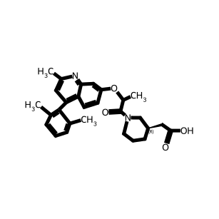 Cc1cc(-c2c(C)cccc2C)c2ccc(OC(C)C(=O)N3CCC[C@H](CC(=O)O)C3)cc2n1